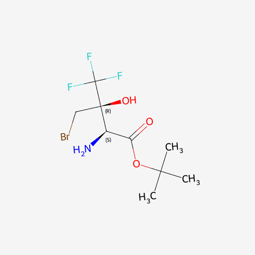 CC(C)(C)OC(=O)[C@@H](N)[C@](O)(CBr)C(F)(F)F